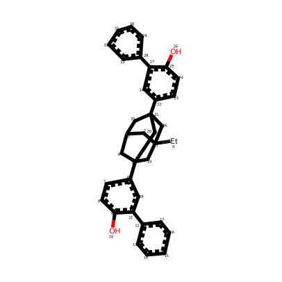 CCC12CC3CC(c4ccc(O)c(-c5ccccc5)c4)(C1)CC(c1ccc(O)c(-c4ccccc4)c1)(C3)C2